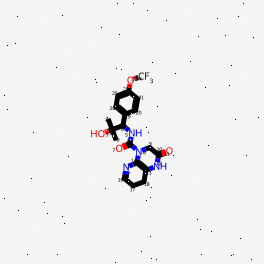 CC(C)(O)C(NC(=O)N1CC(=O)NC2=C1N=CCC2)c1ccc(OC(F)(F)F)cc1